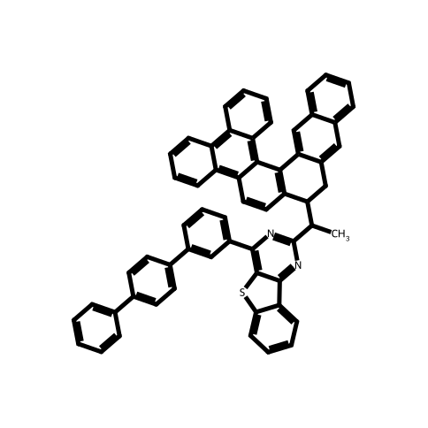 CC(c1nc(-c2cccc(-c3ccc(-c4ccccc4)cc3)c2)c2sc3ccccc3c2n1)C1Cc2cc3ccccc3cc2-c2c1ccc1c3ccccc3c3ccccc3c21